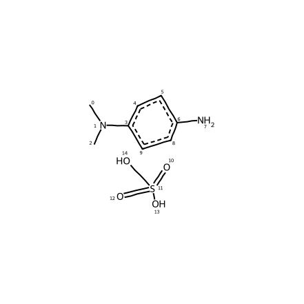 CN(C)c1ccc(N)cc1.O=S(=O)(O)O